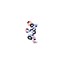 C=C(Nc1ccccc1NC(=O)c1ccc(CN(CCCCN2CCOCC2)C(=C)Nc2ccc3c(c2)OCCO3)cn1)OC(C)(C)C